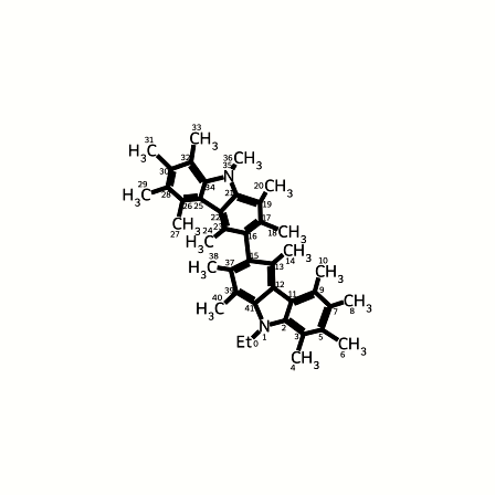 CCn1c2c(C)c(C)c(C)c(C)c2c2c(C)c(-c3c(C)c(C)c4c(c3C)c3c(C)c(C)c(C)c(C)c3n4C)c(C)c(C)c21